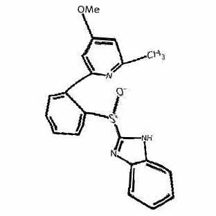 COc1cc(C)nc(-c2ccccc2[S+]([O-])c2nc3ccccc3[nH]2)c1